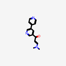 CN(C)/C=C/C(=O)c1cncc(-c2ccncc2)c1